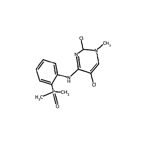 CN1C=C(Cl)C(Nc2ccccc2P(C)(C)=O)=NC1Cl